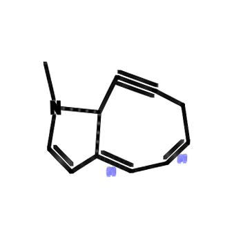 CN1C=C/C2=C/C=C\CC#CC21